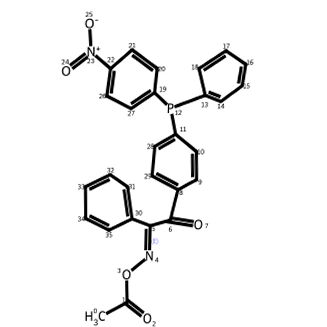 CC(=O)O/N=C(/C(=O)c1ccc(P(c2ccccc2)c2ccc([N+](=O)[O-])cc2)cc1)c1ccccc1